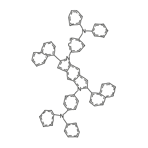 c1ccc(N(c2ccccc2)c2ccc(-n3c(-c4cccc5ccccc45)cc4cc5c(cc(-c6cccc7ccccc67)n5-c5ccc(N(c6ccccc6)c6ccccc6)cc5)cc43)cc2)cc1